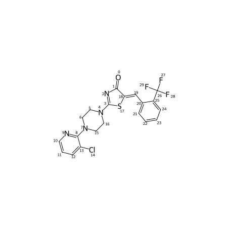 O=C1N=C(N2CCN(c3ncccc3Cl)CC2)SC1=Cc1ccccc1C(F)(F)F